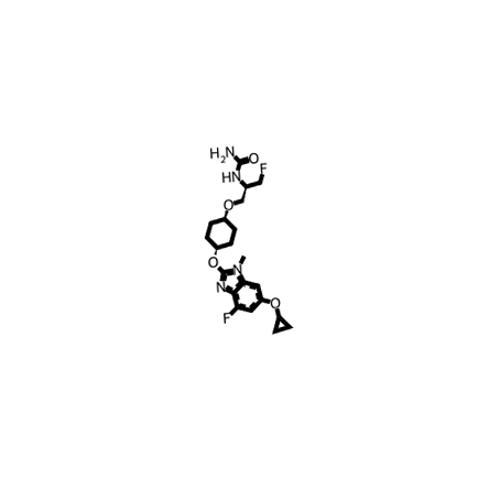 Cn1c(O[C@H]2CC[C@H](OC[C@H](CF)NC(N)=O)CC2)nc2c(F)cc(OC3CC3)cc21